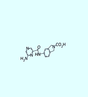 Nc1cncc(C(=O)Nc2ccc3c(c2)CN(C(=O)O)C3)n1